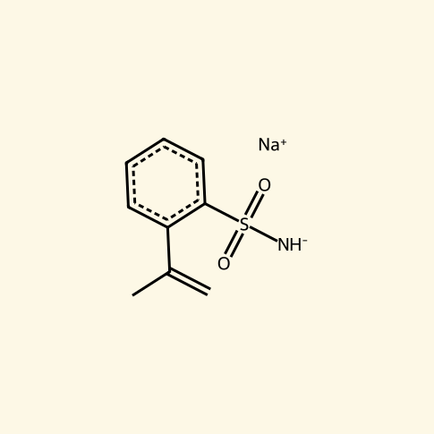 C=C(C)c1ccccc1S([NH-])(=O)=O.[Na+]